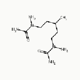 CC(CCN(N)C(N)=O)CCN(N)C(N)=O